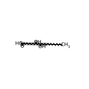 CCCCCCCCCCCCCCCC(O)CCC(O)CCCCCCCCC(=O)O